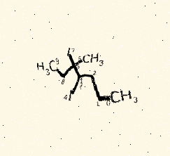 CCCC(I)C(C)(I)CC